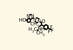 CC(C)NCC(C(=O)N1CCN(c2ncnc3c2C(C)C[C@H]3O)CC1)c1ccc(C(F)(F)F)cc1